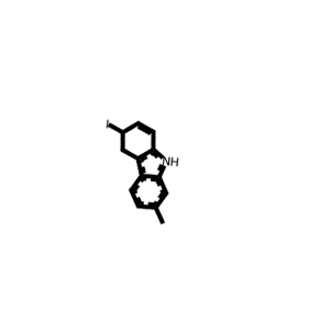 Cc1ccc2c3c([nH]c2c1)C=CC(I)C3